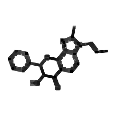 CC=Cn1c(C)nc2c3c(ccc21)C(=O)C(O)C(c1ccccc1)O3